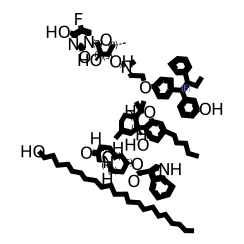 CC/C(=C(/c1ccc(OCCN(C)C)cc1)c1cccc(O)c1)c1ccccc1.CCCCCCCCCCCCCCCCCCCCCCO.CCCCCc1cc(O)c2c(c1)OC(C)(C)[C@@H]1CCC(C)=C[C@@H]21.C[C@H]1O[C@@H](n2cc(F)c(O)nc2=O)[C@H](O)[C@@H]1O.O=C(O[C@H]1C[C@@H]2C[C@@H]3C[C@H](C1)[N@@]2CC3=O)c1c[nH]c2ccccc12